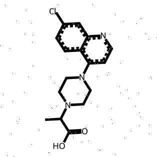 CC(C(=O)O)N1CCN(c2ccnc3cc(Cl)ccc23)CC1